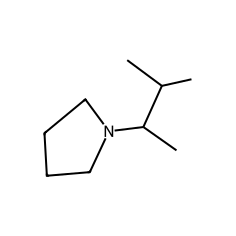 CC(C)C(C)N1CCCC1